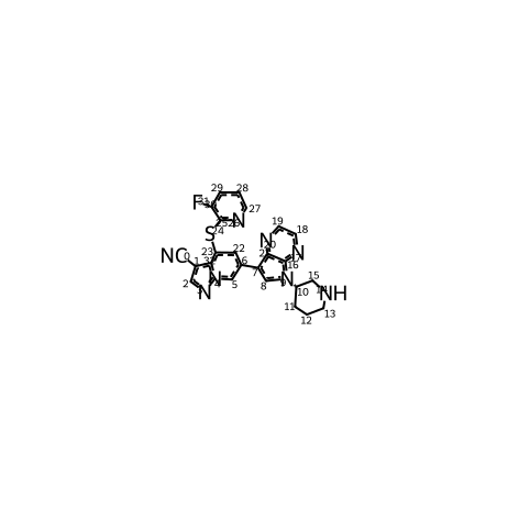 N#Cc1cnn2cc(-c3cn([C@H]4CCCNC4)c4nccnc34)cc(Sc3ncccc3F)c12